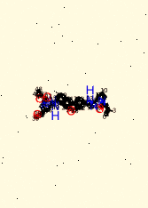 CC[C@H](C)CC(=O)N1C[C@@H](C)C[C@H]1c1ncc(-c2ccc3c(c2)COc2cc4c(ccc5nc([C@@H]6CC(COC)CN6C(=O)OC(C)(C)C)[nH]c54)cc2-3)[nH]1